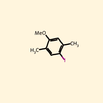 COc1cc(C)c(I)cc1C